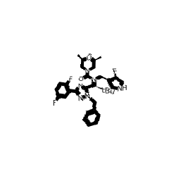 C[C@@H]1CN(C(=O)N(C[C@@H]2CNC[C@@H]2F)[C@@H](c2nc(-c3cc(F)ccc3F)nn2Cc2ccccc2)C(C)(C)C)C[C@H](C)O1